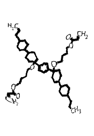 C=CC(=O)OCCCCOC1(c2ccc(C3(OCCCCOC(=O)C=C)CCC(C4CCC(CCC)CC4)CC3)cc2)CCC(C2CCC(CCC)CC2)CC1